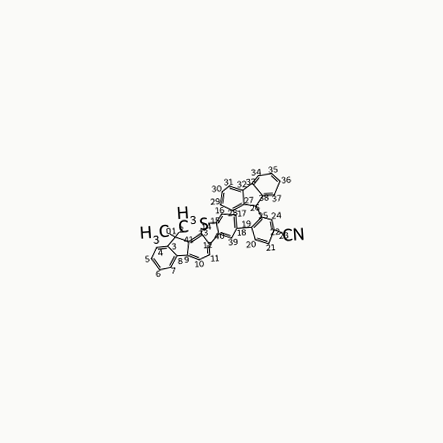 CC1(C)c2ccccc2-c2ccc3c(sc4ccc(-c5ccc(C#N)cc5C5c6ccccc6-c6ccccc65)cc43)c21